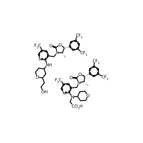 C[C@H]1[C@@H](c2cc(C(F)(F)F)cc(C(F)(F)F)c2)OC(=O)N1Cc1cc(C(F)(F)F)cnc1N(CC(=O)O)C1CCOCC1.C[C@H]1[C@@H](c2cc(C(F)(F)F)cc(C(F)(F)F)c2)OC(=O)N1Cc1cc(C(F)(F)F)cnc1NC1CCOC(CCO)C1